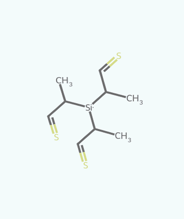 CC(C=S)[Si](C(C)C=S)C(C)C=S